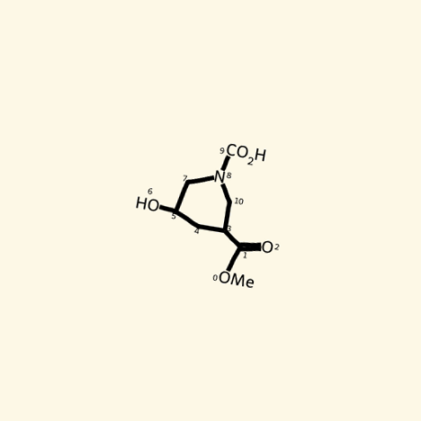 COC(=O)C1CC(O)CN(C(=O)O)C1